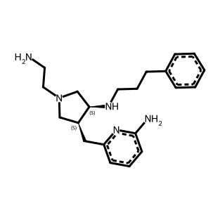 NCCN1C[C@H](Cc2cccc(N)n2)[C@H](NCCCc2ccccc2)C1